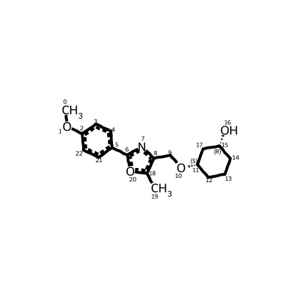 COc1ccc(-c2nc(CO[C@H]3CCC[C@@H](O)C3)c(C)o2)cc1